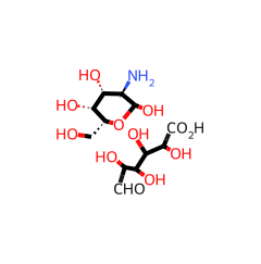 N[C@H]1C(O)O[C@H](CO)[C@H](O)[C@@H]1O.O=CC(O)C(O)C(O)C(O)C(=O)O